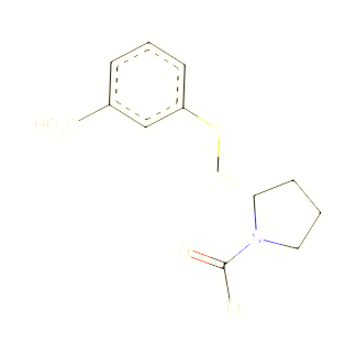 CCC(=O)N1CCC[C@H]1CSc1cccc(C(=O)O)c1